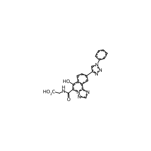 O=C(O)CNC(=O)c1c(O)c2ccc(-c3cn(-c4ccccc4)nn3)cc2c2ncnn12